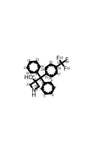 OC1(C(c2ccccc2)(c2ccccc2)c2ccc(C(F)(F)F)cc2)CNC1